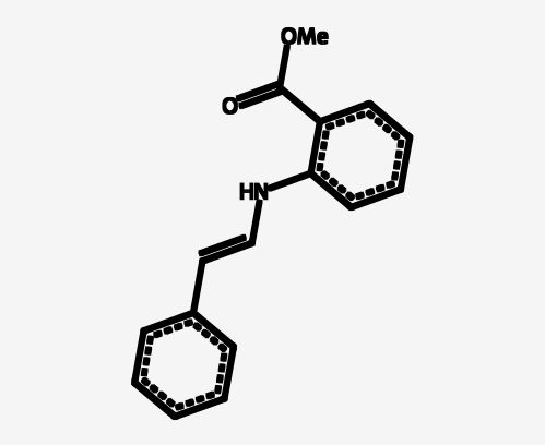 COC(=O)c1ccccc1NC=Cc1ccccc1